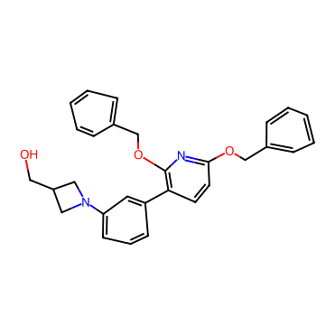 OCC1CN(c2cccc(-c3ccc(OCc4ccccc4)nc3OCc3ccccc3)c2)C1